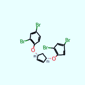 Brc1ccc(O[C@@H]2C=C[C@H](Oc3ccc(Br)cc3Br)C2)c(Br)c1